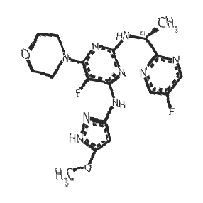 COc1cc(Nc2nc(N[C@@H](C)c3ncc(F)cn3)nc(N3CCOCC3)c2F)n[nH]1